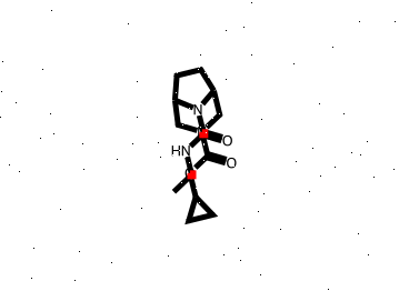 CCNC(=O)N1C2CCC1CN(C(=O)OC1CC1)C2